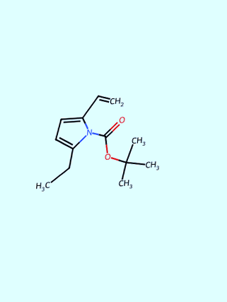 C=Cc1ccc(CC)n1C(=O)OC(C)(C)C